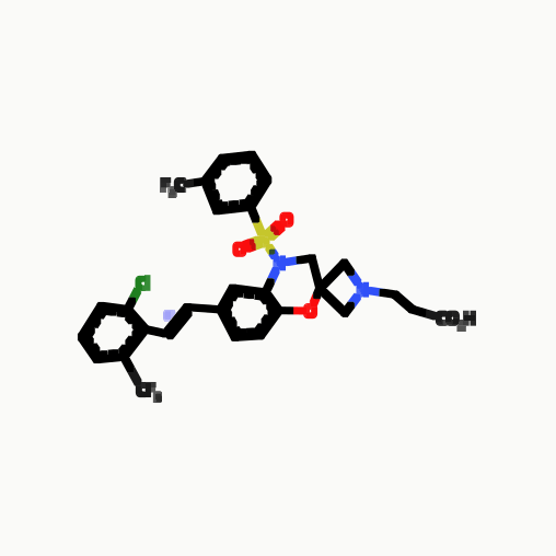 O=C(O)CCN1CC2(C1)CN(S(=O)(=O)c1cccc(C(F)(F)F)c1)c1cc(/C=C/c3c(Cl)cccc3C(F)(F)F)ccc1O2